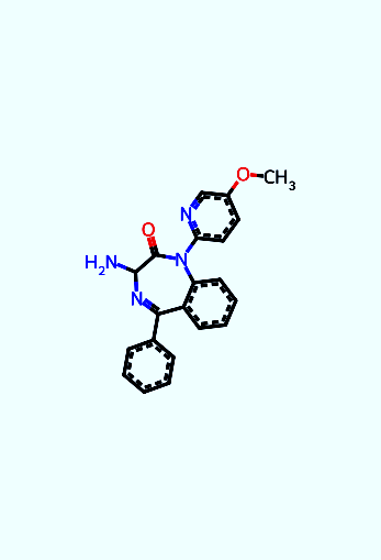 COc1ccc(N2C(=O)C(N)N=C(c3ccccc3)c3ccccc32)nc1